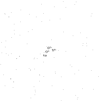 [La].[O-2].[O-2].[Ti+4]